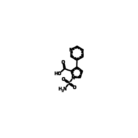 NS(=O)(=O)n1ccc(-c2cccnc2)c1C(=O)O